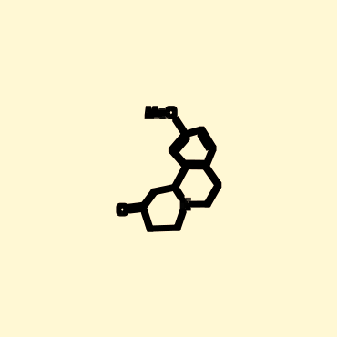 COc1ccc2c(c1)C1CC(=O)CCN1CC2